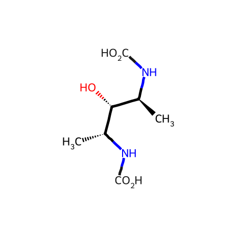 C[C@H](NC(=O)O)[C@@H](O)[C@@H](C)NC(=O)O